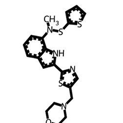 CN(Sc1cccs1)c1cccc2cc(-c3ncc(CN4CCOCC4)s3)[nH]c12